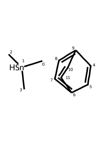 [CH3][SnH]([CH3])[CH3].c1cc2ccc1cc2